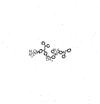 CCN(CC)c1ccc(/C(=C\C=C(c2ccccc2)c2ccccc2)c2ccc(N(CC)CCc3cccc(N(/N=C/c4ccc(N(Cc5ccccc5)Cc5ccccc5)cc4C)c4ccccc4)c3)cc2)cc1